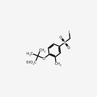 CCOC(=O)C(C)(C)Oc1ccc(S(=O)(=O)CI)cc1C